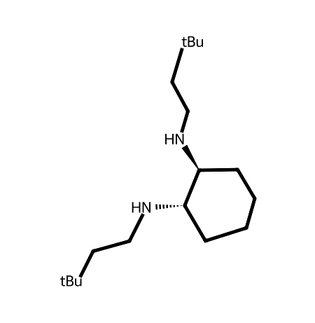 CC(C)(C)CCN[C@H]1CCCC[C@@H]1NCCC(C)(C)C